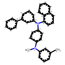 Cc1cccc(N(C)c2ccc(N(c3cccc(-c4ccccc4)c3)c3cccc4ccccc34)cc2)c1